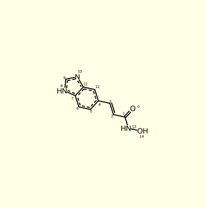 O=C(C=Cc1ccc2[nH]cnc2c1)NO